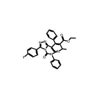 CCOC(=O)C1=C(c2ccccc2)c2c(n(-c3ccccc3)c(=O)n3c(-c4ccc(F)cc4)nnc23)NC1C